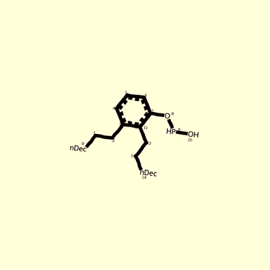 CCCCCCCCCCCCc1cccc(OPO)c1CCCCCCCCCCCC